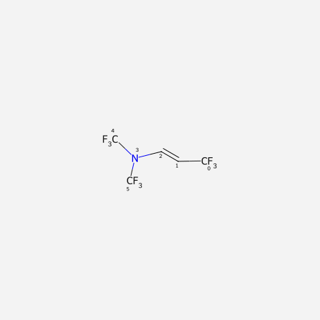 FC(F)(F)/C=C/N(C(F)(F)F)C(F)(F)F